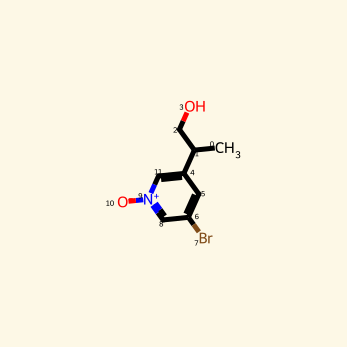 CC(CO)c1cc(Br)c[n+]([O-])c1